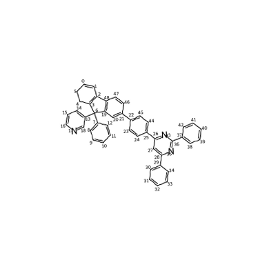 C1=CC2=C(CC1)C(c1ccccc1)(c1cccnc1)c1cc(-c3ccc(-c4cc(-c5ccccc5)nc(-c5ccccc5)n4)cc3)ccc12